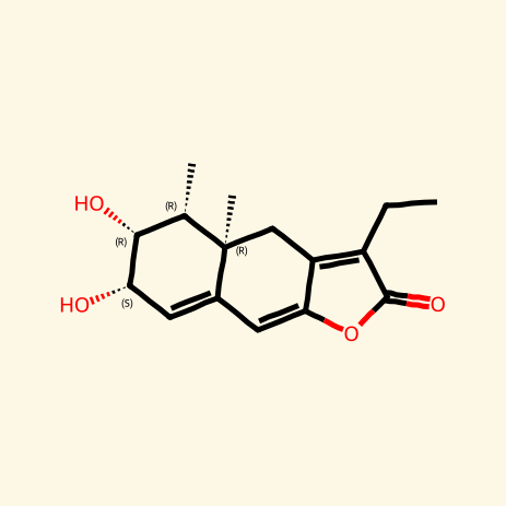 CCC1=C2C[C@@]3(C)C(=C[C@H](O)[C@H](O)[C@@H]3C)C=C2OC1=O